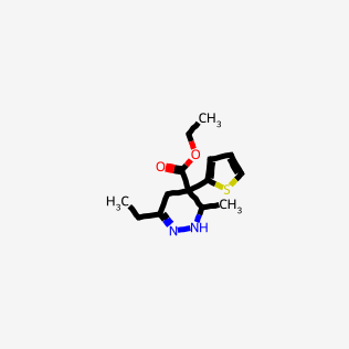 CCOC(=O)C1(c2cccs2)CC(CC)=NNC1C